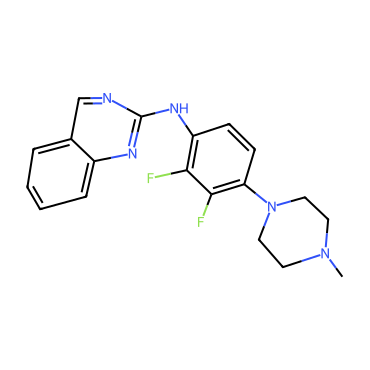 CN1CCN(c2ccc(Nc3ncc4ccccc4n3)c(F)c2F)CC1